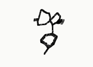 Cc1ccc(C2NCC23CCNCC3)cc1